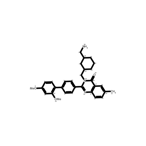 COc1ccc(-c2ccc(-c3nc4ccc(C)cc4c(=O)n3CC3CCCC(CN)C3)cc2)c(OC)c1